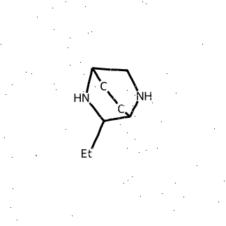 CCC1NC2CCC1NC2